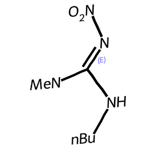 CCCCN/C(=N/[N+](=O)[O-])NC